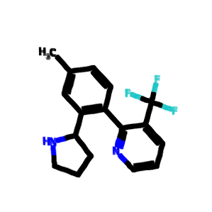 Cc1ccc(-c2ncccc2C(F)(F)F)c(C2CCCN2)c1